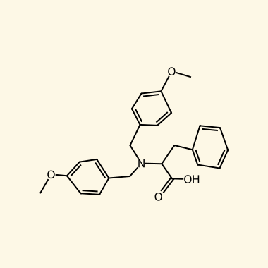 COc1ccc(CN(Cc2ccc(OC)cc2)C(Cc2ccccc2)C(=O)O)cc1